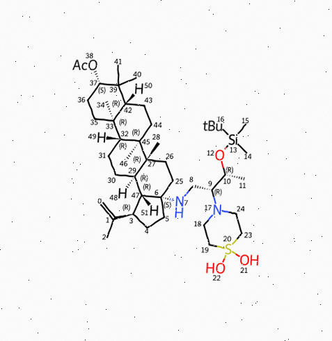 C=C(C)[C@@H]1CC[C@]2(NC[C@H]([C@@H](C)O[Si](C)(C)C(C)(C)C)N3CCS(O)(O)CC3)CC[C@]3(C)[C@H](CC[C@@H]4[C@@]5(C)CC[C@H](OC(C)=O)C(C)(C)[C@@H]5CC[C@]43C)[C@@H]12